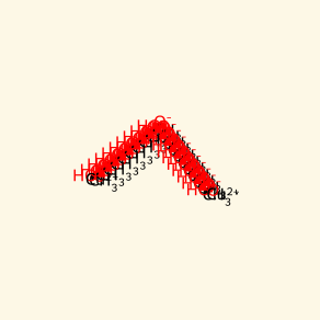 CC(O)C(=O)[O-].CC(O)C(=O)[O-].CC(O)C(=O)[O-].CC(O)C(=O)[O-].CC(O)C(=O)[O-].CC(O)C(=O)[O-].CC(O)C(=O)[O-].CC(O)C(=O)[O-].CC(O)C(=O)[O-].CC(O)C(=O)[O-].CC(O)C(=O)[O-].CC(O)C(=O)[O-].CC(O)C(=O)[O-].CC(O)C(=O)[O-].CC(O)C(=O)[O-].CC(O)C(=O)[O-].CC(O)C(=O)[O-].CC(O)C(=O)[O-].CC(O)C(=O)[O-].CC(O)C(=O)[O-].[Cu+2].[Cu+2]